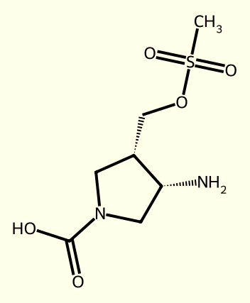 CS(=O)(=O)OC[C@H]1CN(C(=O)O)C[C@H]1N